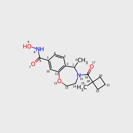 CC1c2ccc(C(=O)NO)cc2OCCN1C(=O)C1(C)CCC1